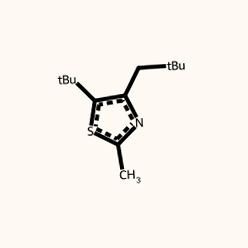 Cc1nc(CC(C)(C)C)c(C(C)(C)C)s1